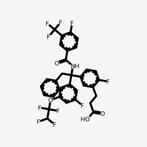 O=C(O)CCc1cc(C(Cc2ccccc2)(NC(=O)c2ccc(F)c(C(F)(F)F)c2)c2cc(F)cc(OC(F)(F)C(F)F)c2)ccc1F